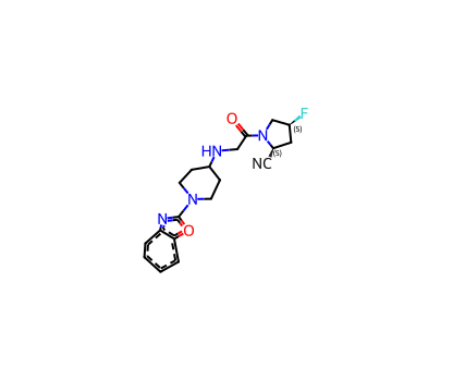 N#C[C@@H]1C[C@H](F)CN1C(=O)CNC1CCN(c2nc3ccccc3o2)CC1